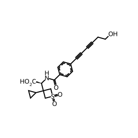 O=C(N[C@H](C(=O)O)C1(C2CC2)CS(=O)(=O)C1)c1ccc(C#CC#CCCO)cc1